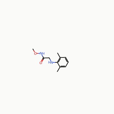 CONC(=O)CNc1c(C)cccc1C